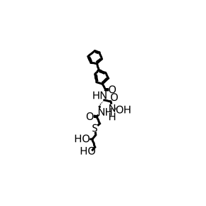 O=C(CSCC(O)CO)NC[C@H](NC(=O)c1ccc(-c2ccccc2)cc1)C(=O)NO